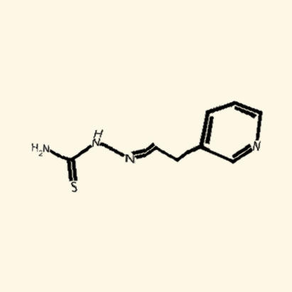 NC(=S)NN=CCc1cccnc1